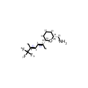 C/C(=C\C=C(/C)C(F)(F)F)[C@@H]1CCC[C@H](CN)O1